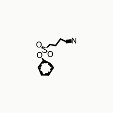 N#CCCCS(=O)(=O)Oc1ccccc1